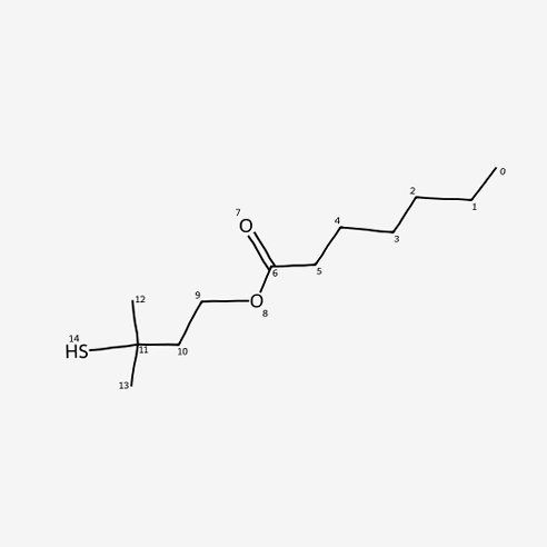 CCCCCCC(=O)OCCC(C)(C)S